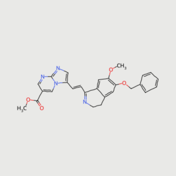 COC(=O)c1cnc2ncc(/C=C/C3=NCCc4cc(OCc5ccccc5)c(OC)cc43)n2c1